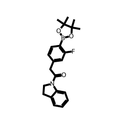 CC1(C)OB(c2ccc(CC(=O)N3CCc4ccccc43)cc2F)OC1(C)C